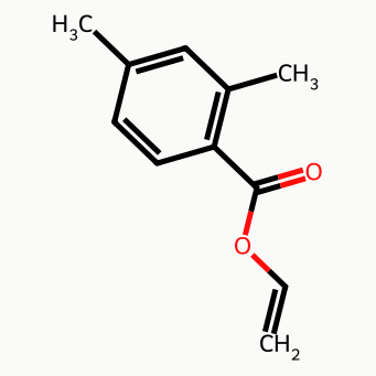 C=COC(=O)c1ccc(C)cc1C